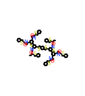 C/C=C(\O/C=N/c1cc(-c2cc3cc4sc(-c5cc(/N=C/O/C(=C\C)c6cc7ccccc7s6)c6sc7c(-c8coc(-c9cc%10ccccc%10s9)n8)cc(-c8coc(-c9cc%10ccccc%10s9)n8)cc7c6c5)cc4cc3s2)cc2c1sc1c(-c3coc(-c4cc5ccccc5s4)n3)cc(-c3coc(-c4cc5ccccc5s4)n3)cc12)c1cc2ccccc2s1